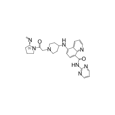 C=N[C@@H]1CCCN1C(=O)CN1CCC(Nc2ccc(C(=O)Nc3ncccn3)c3ncccc23)CC1